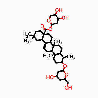 CC1C(OC2CC(O)CC(CO)O2)CC[C@@]2(C)C1CCC1(C)C3CC[C@@]4(C(=O)OC5CC(O)C(O)CO5)CCC(C)(C)CC4C3=CCC12